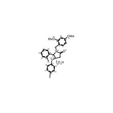 COc1ccc(CN2C(=O)C[C@](Sc3ccc(C)cc3)(C(=O)O)C2c2ccccc2C)c(OC)c1